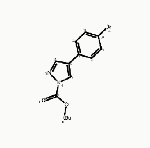 CC(C)(C)OC(=O)n1cc(-c2ccc(Br)cc2)cn1